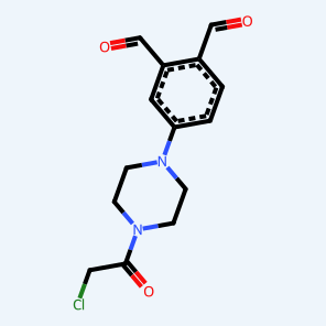 O=Cc1ccc(N2CCN(C(=O)CCl)CC2)cc1C=O